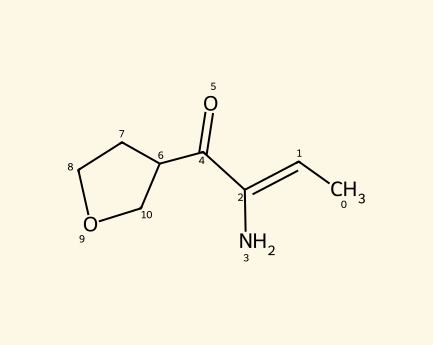 C/C=C(\N)C(=O)C1CCOC1